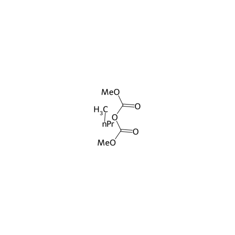 CCCC.COC(=O)OC(=O)OC